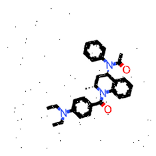 CCN(CC)c1ccc(C(=O)N2c3ccccc3[C@@H](N(C(C)=O)c3ccccc3)C[C@H]2C)cc1